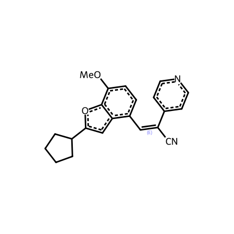 COc1ccc(/C=C(/C#N)c2ccncc2)c2cc(C3CCCC3)oc12